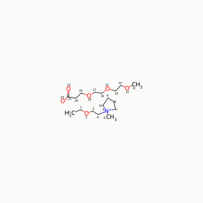 CCOCC[N+]1(C)CCCC1.COCCOCCOCCC(=O)[O-]